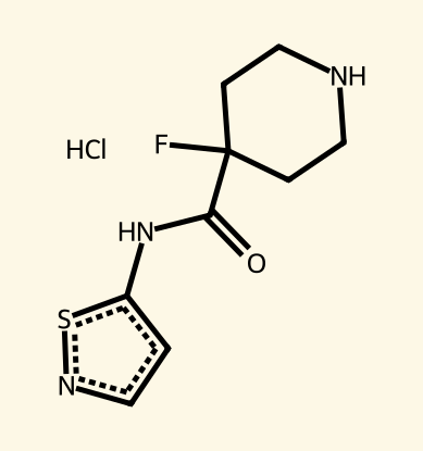 Cl.O=C(Nc1ccns1)C1(F)CCNCC1